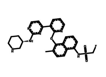 Cc1ccc2c(NS(=O)(=O)CF)cccc2c1Oc1ncccc1-c1ccnc(N[C@H]2CCCNC2)n1